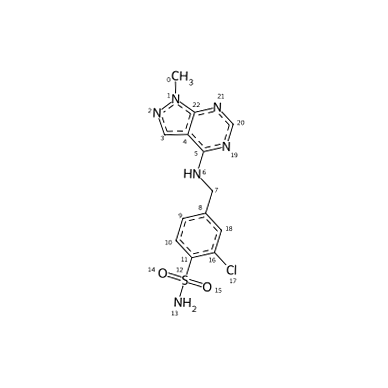 Cn1ncc2c(NCc3ccc(S(N)(=O)=O)c(Cl)c3)ncnc21